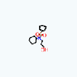 O=S(=O)(c1ccccc1)N(CCCO)C1CCCCC1